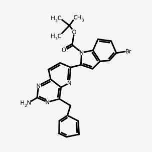 CC(C)(C)OC(=O)n1c(-c2ccc3nc(N)nc(Cc4ccccc4)c3n2)cc2cc(Br)ccc21